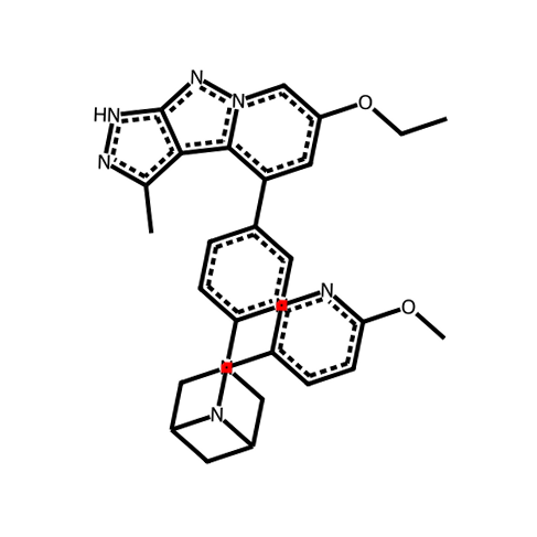 CCOc1cc(-c2ccc(N3CC4CC(C3)N4Cc3ccc(OC)nc3)nc2)c2c3c(C)n[nH]c3nn2c1